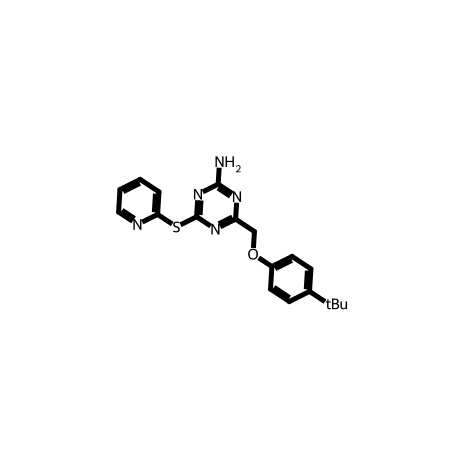 CC(C)(C)c1ccc(OCc2nc(N)nc(Sc3ccccn3)n2)cc1